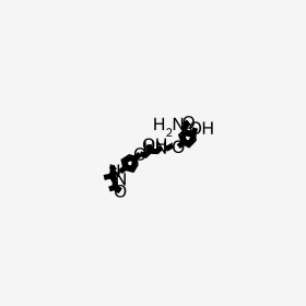 CC(=O)c1nc(-c2ccc(OCC(O)CNCCOc3ccc(O)c(C(N)=O)c3)cc2)n(C)c1C